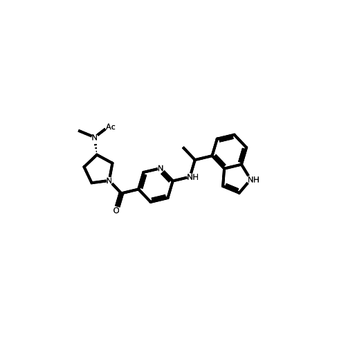 CC(=O)N(C)[C@H]1CCN(C(=O)c2ccc(NC(C)c3cccc4[nH]ccc34)nc2)C1